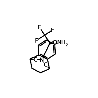 Nc1ccc2c(c1)C1CCC2CN(C(=O)C(F)(F)F)C1